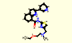 CCOCCN(C)Cc1csc(NC(=O)c2cccc3ccc(-c4cccnc4)nc23)n1